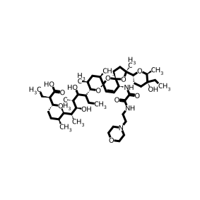 CCC(C(O)[C@@H](C)[C@@H](O)[C@H](C)[C@@H]1O[C@@H]([C@@H](CC)C(=O)O)CC[C@@H]1C)[C@H]1O[C@]2(C=C[C@@H](NC(=O)C(=O)NCCN3CCOCC3)[C@]3(CC[C@@](C)([C@H]4CC[C@](O)(CC)[C@H](C)O4)O3)O2)[C@H](C)C[C@@H]1C